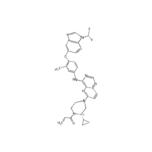 C=CC(=O)N1CCN(c2ccc3ncnc(Nc4ccc(Oc5ccc6c(c5)ncn6C(F)F)c(C)c4)c3n2)C[C@@H]1C1CC1